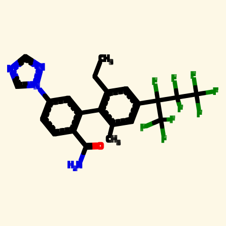 CCc1cc(C(F)(C(F)(F)F)C(F)(F)C(F)(F)F)cc(C)c1-c1cc(-n2cncn2)ccc1C(N)=O